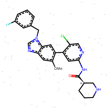 COc1cc2ncn(Cc3cccc(F)c3)c2cc1-c1cc(NC(=O)[C@@H]2CCCNC2)ncc1Cl